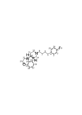 Fc1ccc(CCCCN2CC[C@H]3[C@@H](C2)c2cccc4c2N3CCO4)cc1